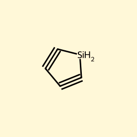 C1#C[SiH2]C#C1